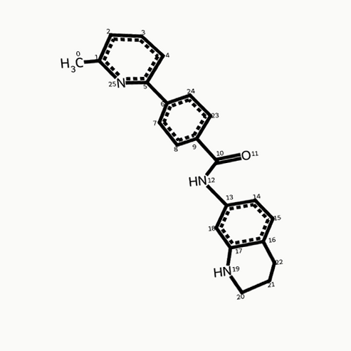 Cc1cccc(-c2ccc(C(=O)Nc3ccc4c(c3)NCCC4)cc2)n1